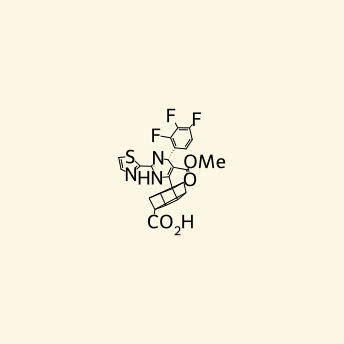 COC(=O)C1=C(C23C4C5C2C2C3C4C52C(=O)O)NC(c2nccs2)=N[C@@H]1c1ccc(F)c(F)c1F